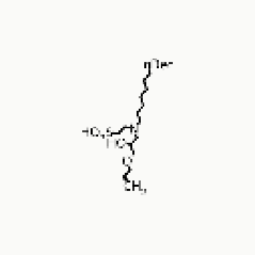 C=CCOCC(O)CN(CCCCCCCCCCCCCCCCC)CCS(=O)(=O)O